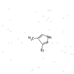 CCc1p[nH]cc1C